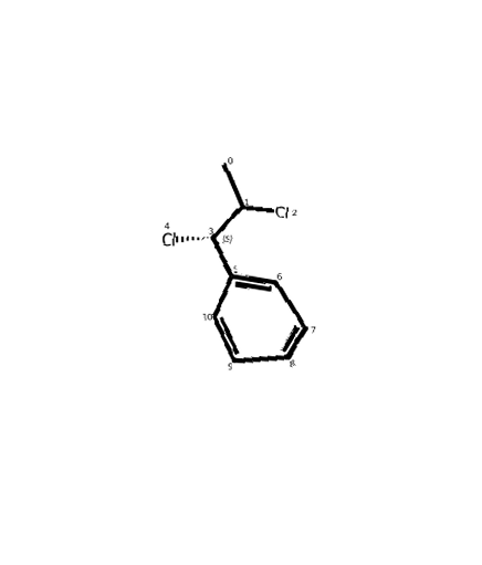 CC(Cl)[C@@H](Cl)c1ccccc1